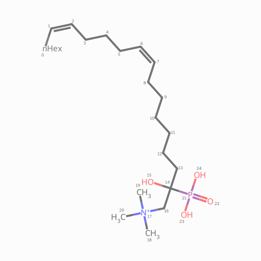 CCCCCC/C=C\CCC/C=C\CCCCCCC(O)(C[N+](C)(C)C)P(=O)(O)O